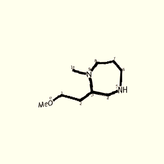 COCCC1CNCCCN1C